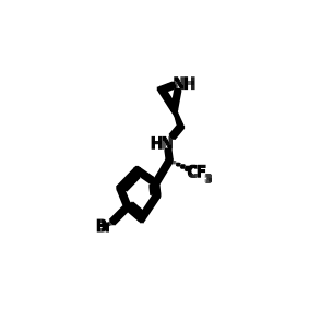 FC(F)(F)[C@@H](NC[C@H]1CN1)c1ccc(Br)cc1